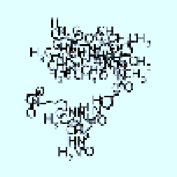 CCC[C@@H]([C@@H](CC(=O)N1C[C@@H](OC(=O)N(C)CCN(C)C(=O)OCc2ccc(NC(=O)[C@H](CCCNC(N)=O)NC(=O)[C@@H](NC(=O)CCCCCN3C(=O)C=CC3=O)C(C)C)cc2)C[C@H]1[C@H](OC)[C@@H](C)C(=O)NCC(=O)c1ccc(C)cc1C)OC)N(C)C(=O)[C@@H](NC(=O)[C@H](C(C)C)N(C)C)C(C)C